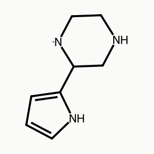 c1c[nH]c(C2CNCC[N]2)c1